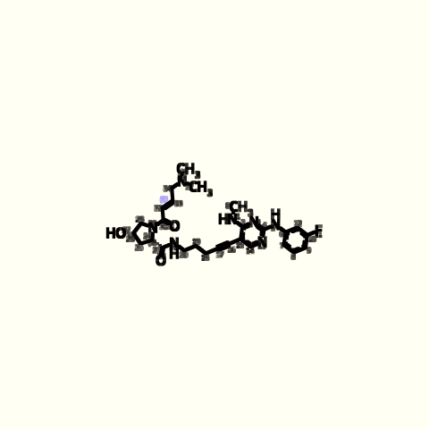 CNc1nc(Nc2cccc(F)c2)ncc1C#CCCCNC(=O)[C@@H]1C[C@H](O)CN1C(=O)/C=C/CN(C)C